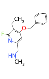 CCc1c(OCc2ccccc2)cc(CNC)nc1F